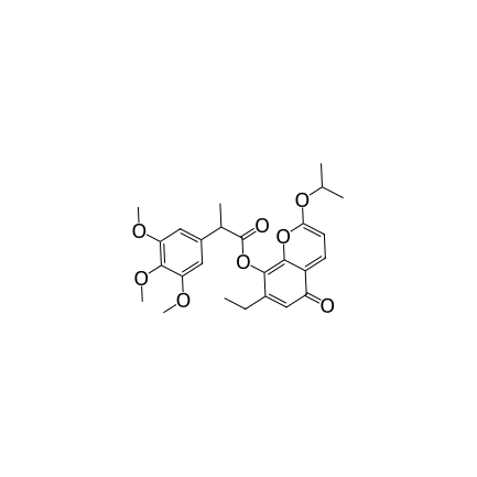 CCc1cc(=O)c2ccc(OC(C)C)oc-2c1OC(=O)C(C)c1cc(OC)c(OC)c(OC)c1